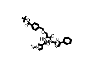 CSn1ccc(C(=O)NC(COCc2ccc(C(=O)OC(C)(C)C)cc2)C(=O)Nc2nc(-c3ccccc3)cs2)c1